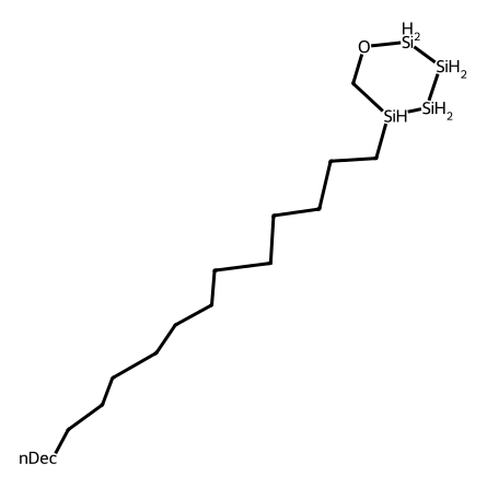 CCCCCCCCCCCCCCCCCCCCCC[SiH]1CO[SiH2][SiH2][SiH2]1